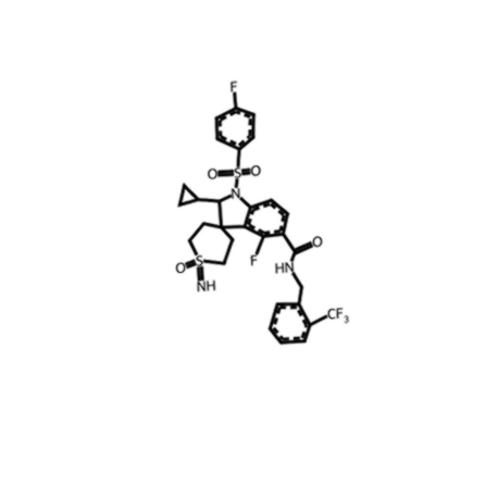 N=S1(=O)CCC2(CC1)c1c(ccc(C(=O)NCc3ccccc3C(F)(F)F)c1F)N(S(=O)(=O)c1ccc(F)cc1)C2C1CC1